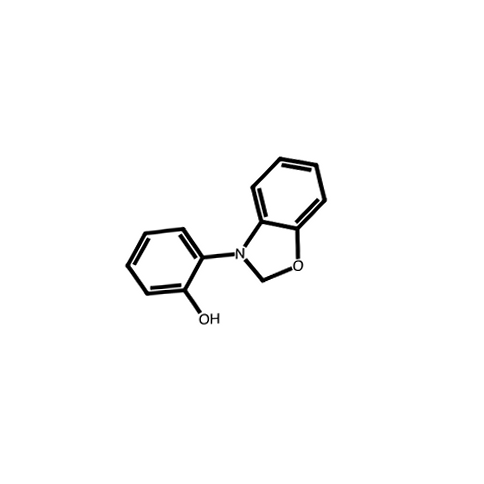 Oc1ccccc1N1COc2ccccc21